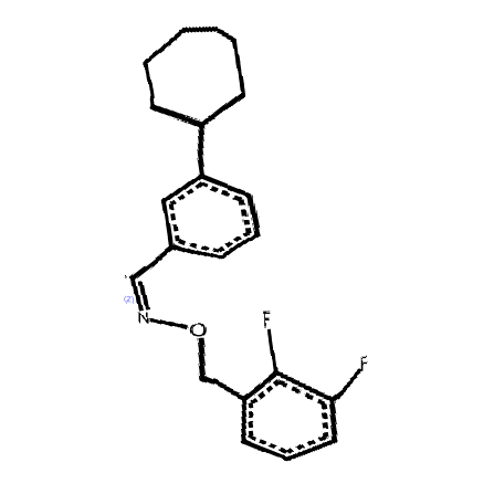 Fc1cccc(CO/N=[C]\c2cccc(C3CCCCC3)c2)c1F